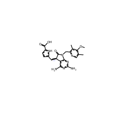 COc1c(C)cnc(CN2C(=O)/C(=C\c3ccc(C(=O)O)[nH]3)c3c(N)nc(N)nc32)c1C